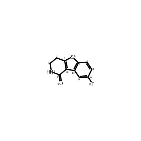 O=C1NCCc2sc3ccc(F)cc3c21